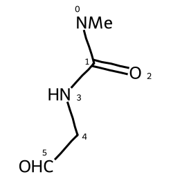 CNC(=O)NCC=O